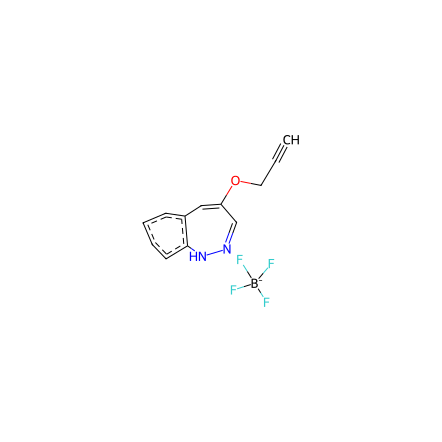 C#CCOC1=Cc2ccccc2NN=C1.F[B-](F)(F)F